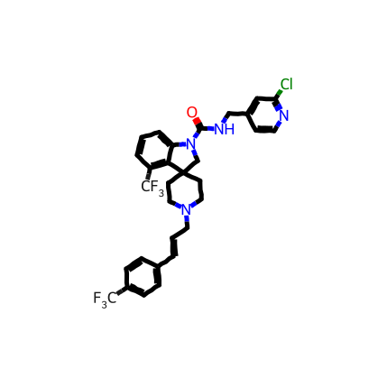 O=C(NCc1ccnc(Cl)c1)N1CC2(CCN(CC=Cc3ccc(C(F)(F)F)cc3)CC2)c2c1cccc2C(F)(F)F